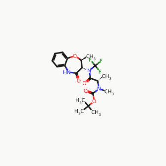 C[C@@H]1Oc2ccccc2NC(=O)[C@H]1N(C(=O)[C@H](C)N(C)C(=O)OC(C)(C)C)C(F)(F)F